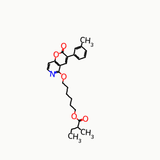 CCC(C)C(=O)OCCCCCCOc1nccc2oc(=O)c(-c3cccc(C)c3)cc12